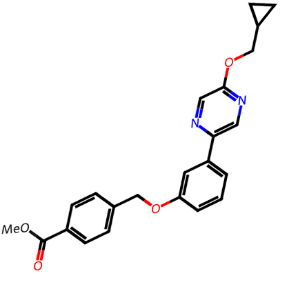 COC(=O)c1ccc(COc2cccc(-c3cnc(OCC4CC4)cn3)c2)cc1